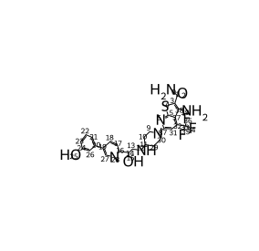 NC(=O)c1sc2nc(N3CCC(NCC(O)c4ccc(-c5cccc(O)c5)cn4)CC3)cc(C(F)(F)F)c2c1N